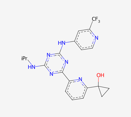 CC(C)Nc1nc(Nc2ccnc(C(F)(F)F)c2)nc(-c2cccc(C3(O)CC3)n2)n1